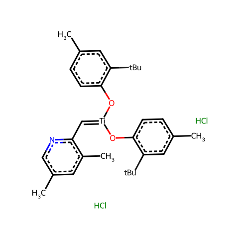 Cc1cnc([CH]=[Ti]([O]c2ccc(C)cc2C(C)(C)C)[O]c2ccc(C)cc2C(C)(C)C)c(C)c1.Cl.Cl